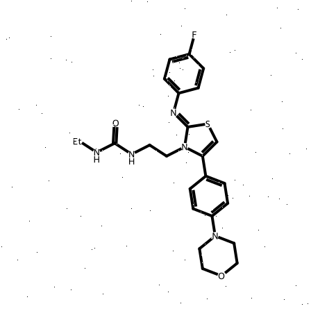 CCNC(=O)NCCn1c(-c2ccc(N3CCOCC3)cc2)cs/c1=N\c1ccc(F)cc1